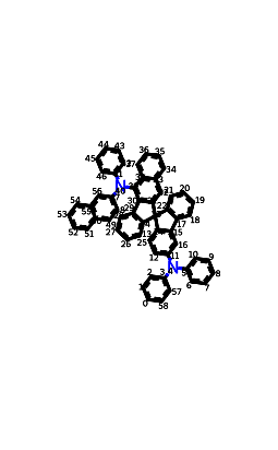 c1ccc(N(c2ccccc2)c2ccc3c(c2)-c2ccccc2C32c3ccccc3-c3c2cc2ccccc2c3N(c2ccccc2)c2ccc3ccccc3c2)cc1